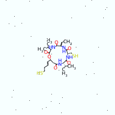 C/C=C1\NC(=O)[C@@H](CS)NC(=O)[C@H](C(C)C)NC(=O)CC(/C=C/CCS)OC(=O)C(C(C)C)NC1=O